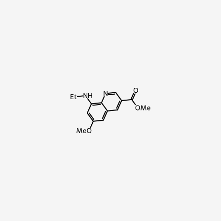 CCNc1cc(OC)cc2cc(C(=O)OC)cnc12